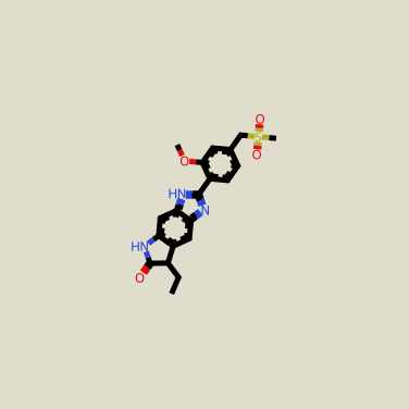 CCC1C(=O)Nc2cc3[nH]c(-c4ccc(CS(C)(=O)=O)cc4OC)nc3cc21